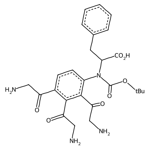 CC(C)(C)OC(=O)N(c1ccc(C(=O)CN)c(C(=O)CN)c1C(=O)CN)C(Cc1ccccc1)C(=O)O